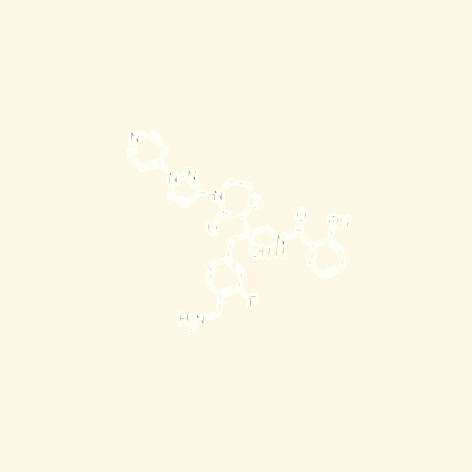 NCc1ccc(CC(O)(CNC(=O)c2ccccc2O)[C@H]2OCCN(c3ccn(-c4ccncc4)n3)C2=O)cc1F